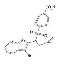 O=C(O)c1ccc(S(=O)(=O)N(CC2CC2)c2sc3ccccc3c2Br)cc1